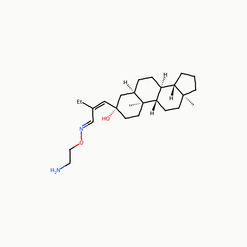 CCC(C=NOCCN)=C[C@]1(O)CC[C@@]2(C)[C@H](CC[C@H]3[C@@H]4CCC[C@@]4(C)CC[C@@H]32)C1